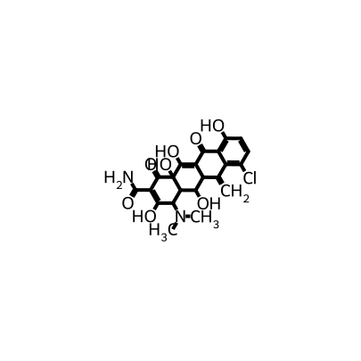 C=C1c2c(Cl)ccc(O)c2C(=O)C2=C(O)C3(O)C(=O)C(C(N)=O)=C(O)C(N(C)C)C3C(O)C12